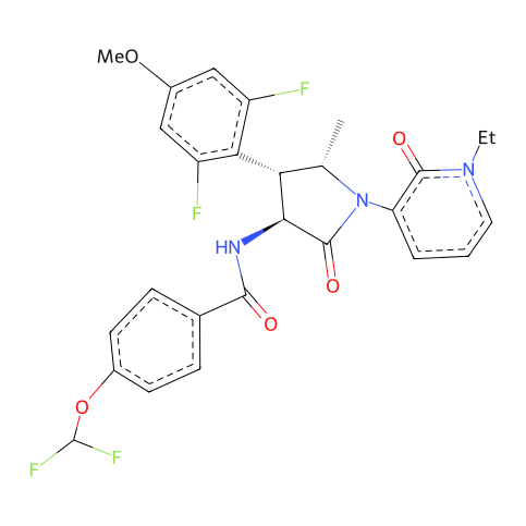 CCn1cccc(N2C(=O)[C@@H](NC(=O)c3ccc(OC(F)F)cc3)[C@H](c3c(F)cc(OC)cc3F)[C@@H]2C)c1=O